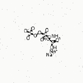 N.O=S(=O)([O-])OOS(=O)(=O)[O-].O=S(O)O.[Na+].[Na+]